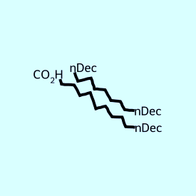 CCCCCCCCCCCCCCCCCCCC(=O)O.CCCCCCCCCCCCCCCCCCCCCCCCCCC